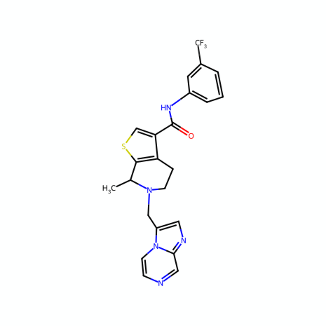 CC1c2scc(C(=O)Nc3cccc(C(F)(F)F)c3)c2CCN1Cc1cnc2cnccn12